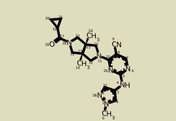 Cn1cc(Nc2ncc(C#N)c(N3C[C@]4(C)CN(C(=O)C5CC5)C[C@]4(C)C3)n2)cn1